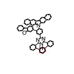 c1ccc(-c2ccccc2C2=NC(c3ccc(-n4c5cc6ccccc6cc5c5cc6ccccc6cc54)c(-c4ccc5c(c4)oc4ccccc45)c3)=NC(c3ccccc3-c3ccccc3)N2)cc1